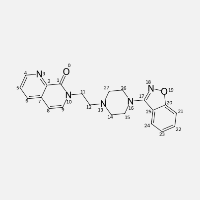 O=c1c2ncccc2ccn1CCN1CCN(c2noc3ccccc23)CC1